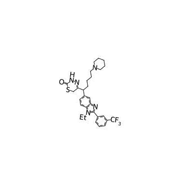 CCn1c(-c2cccc(C(F)(F)F)c2)nc2cc(C(CCCCN3CCCCC3)C3=NNC(=O)SC3)ccc21